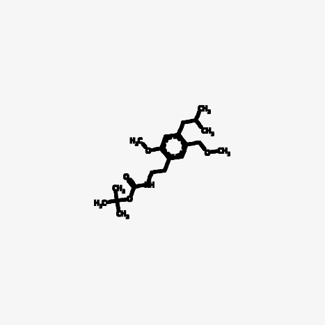 COCc1cc(CCNC(=O)OC(C)(C)C)c(OC)cc1CC(C)C